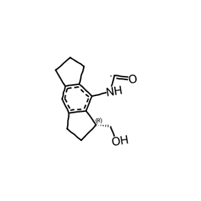 O=[C]Nc1c2c(cc3c1[C@H](CO)CC3)CCC2